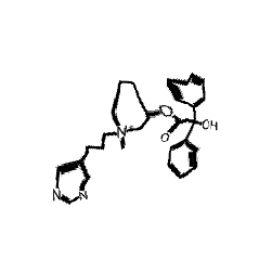 C[N+]1(CCCc2cncnc2)CCCC(OC(=O)C(O)(c2ccccc2)c2ccccc2)C1